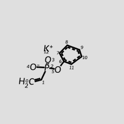 C=CP(=O)([O-])Oc1ccccc1.[K+]